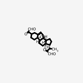 CC(C(=O)C=O)[C@H]1CC[C@H]2[C@@H]3CC=C4CC(C(=O)C=O)CC[C@]4(C)[C@H]3CC[C@]12C